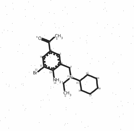 CCN(Cc1cc(C(C)=O)cc(Br)c1N)C1CCCCC1